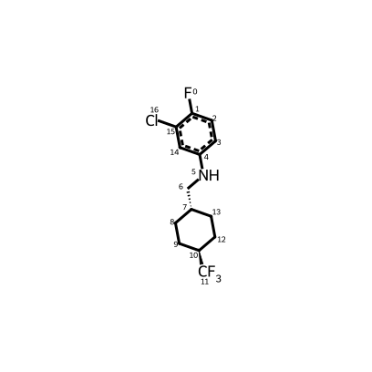 Fc1ccc(NC[C@H]2CC[C@H](C(F)(F)F)CC2)cc1Cl